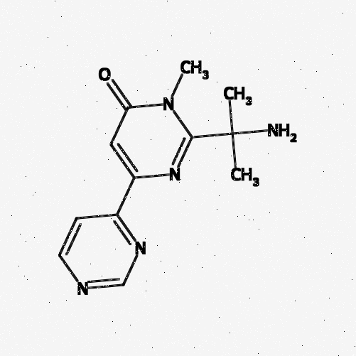 Cn1c(C(C)(C)N)nc(-c2ccncn2)cc1=O